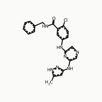 Cc1cc(Nc2cncc(Nc3ccc(Cl)c(C(=O)NCc4ccccc4)c3)n2)n[nH]1